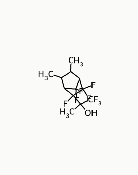 CC1C(C)C2C(F)(F)C1C(F)(F)C2(F)C(C)(O)C(F)(F)F